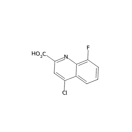 O=C(O)c1cc(Cl)c2cccc(F)c2n1